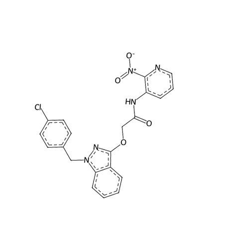 O=C(COc1nn(Cc2ccc(Cl)cc2)c2ccccc12)Nc1cccnc1[N+](=O)[O-]